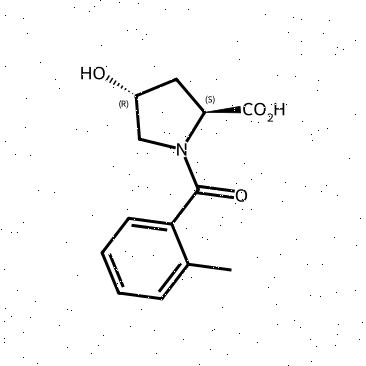 Cc1ccccc1C(=O)N1C[C@H](O)C[C@H]1C(=O)O